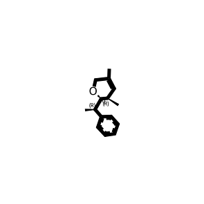 CC1=C[C@@H](C)[C@H]([C@H](C)c2ccccc2)OC1